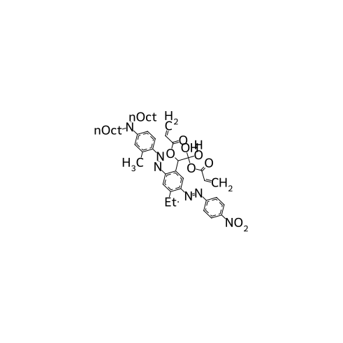 [CH2][CH]c1cc(N=Nc2ccc(N(CCCCCCCC)CCCCCCCC)cc2C)c(C(OC(=O)C=C)C(O)(O)OC(=O)C=C)cc1N=Nc1ccc([N+](=O)[O-])cc1